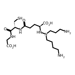 NCCCCN(CCCN)N[C@@H](CCC(=O)N[C@@H](CS)C(=O)NCC(=O)O)C(=O)O